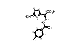 Nc1nc(C(=NOC(=O)c2ccc(Cl)cc2)C(=O)O)cs1